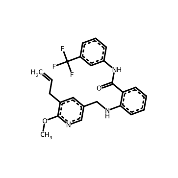 C=CCc1cc(CNc2ccccc2C(=O)Nc2cccc(C(F)(F)F)c2)cnc1OC